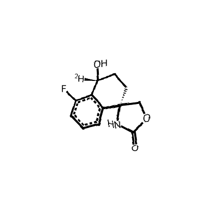 [2H][C@@]1(O)CC[C@@]2(COC(=O)N2)c2cccc(F)c21